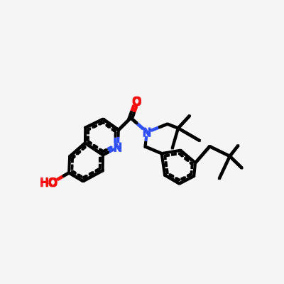 CC(C)(C)Cc1cccc(CN(CC(C)(C)C)C(=O)c2ccc3cc(O)ccc3n2)c1